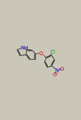 O=[N+]([O-])c1ccc(Oc2ccc3cc[nH]c3c2)c(Cl)c1